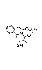 CC(CS)C(=O)N1C(C(=O)O)Cc2ccccc2C1C